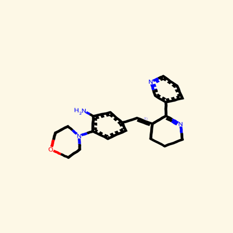 Nc1cc(/C=C2\CCCN=C2c2cccnc2)ccc1N1CCOCC1